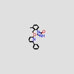 Cc1cccc(N2CNC2=O)c1COc1cccc(-c2ccccc2)n1